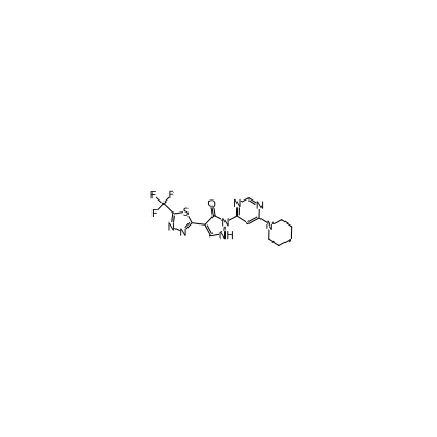 O=c1c(-c2nnc(C(F)(F)F)s2)c[nH]n1-c1cc(N2CCCCC2)ncn1